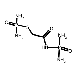 NP(N)(=O)NC(=O)CSP(N)(N)=O